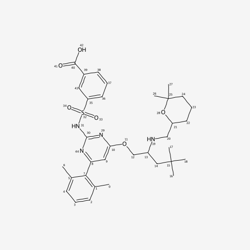 Cc1cccc(C)c1-c1cc(OCC(CC(C)(C)C)NCC2CCCC(C)(C)O2)nc(NS(=O)(=O)c2cccc(C(=O)O)c2)n1